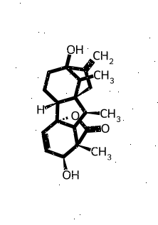 C=C1C[C@]23C(C)C1(O)CC[C@H]2[C@@]12C=C[C@H](O)[C@@](C)(C(=O)O1)C2[C@@H]3C